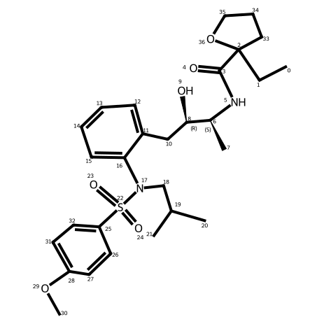 CCC1(C(=O)N[C@@H](C)[C@H](O)Cc2ccccc2N(CC(C)C)S(=O)(=O)c2ccc(OC)cc2)CCCO1